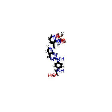 CN(c1ncccc1Cn1ccc2cnc(Nc3ccc(NCCO)cc3)nc21)S(C)(=O)=O